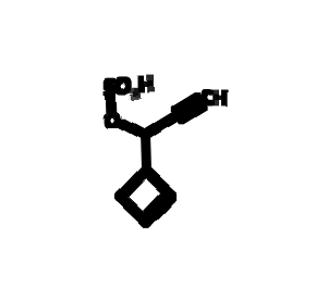 C#CC(OS(=O)(=O)O)C1C=CC1